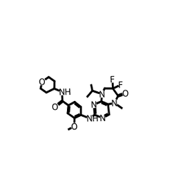 COc1cc(C(=O)NC2CCOCC2)ccc1Nc1ncc2c(n1)N(C(C)C)CC(F)(F)C(=O)N2C